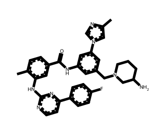 Cc1cn(-c2cc(CN3CCCC(N)C3)cc(NC(=O)c3ccc(C)c(Nc4nccc(-c5ccc(F)cc5)n4)c3)c2)cn1